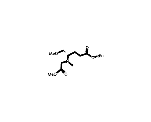 COC[C@H](CCC(=O)OC(C)(C)C)N(C)CC(=O)OC